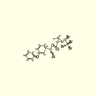 CC1(C)C(C(=O)OC(C#N)c2cccc(Oc3ccccc3)c2)C1C(Br)C(Br)(Br)Br